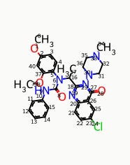 COc1ccc(N(C(=O)Nc2ccccc2)C(C)c2nc3ccc(Cl)cc3c(=O)n2N2CCN(C)CC2)c(OC)c1